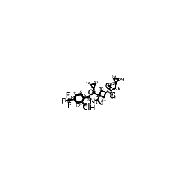 CC(NC(=O)c1ccc(C(F)(F)F)cc1Cl)C1(CC2CC2)CC(S(=O)(=O)CC2CC2)C1